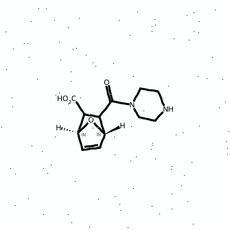 O=C(O)C1C(C(=O)N2CCNCC2)[C@@H]2C=C[C@@H]1O2